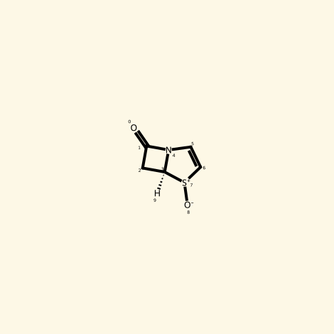 O=C1C[C@H]2N1C=C[S+]2[O-]